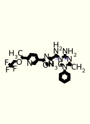 C=C(/N=C(N)\N=C(/N)c1noc(-c2ccc(C(C)OCC(F)(F)F)nc2)n1)N(C)c1ccccc1